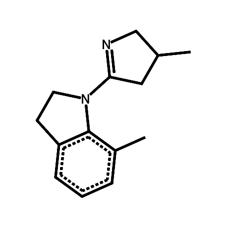 Cc1cccc2c1N(C1=NCC(C)C1)CC2